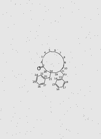 O=C1CCCCCCCCCC(Cc2ccccc2)CC(Cc2ccccc2)C1